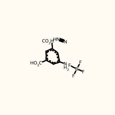 F[B-](F)(F)F.N#[NH+].Nc1cc(C(=O)O)cc(C(=O)O)c1